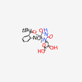 CC(C)(C)[C@H](OCc1cn([C@H]2C[C@H](O)[C@@H](CO)O2)c(=O)[nH]c1=O)c1ccccc1[N+](=O)[O-]